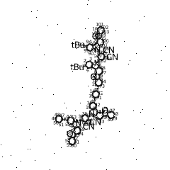 CC(C)(C)c1ccc2c(c1)c1c3oc4cc(-c5ccc(-c6ccc7c(c6)c6c8oc9ccccc9c8ccc6n7-c6ccc(-n7c8ccc(-c9ccccc9)cc8c8c9oc%10ccccc%10c9ccc87)c(C#N)c6C#N)cc5)ccc4c3ccc1n2-c1cc(C#N)c(C#N)c(-n2c3ccc(C(C)(C)C)cc3c3c4oc5ccccc5c4ccc32)c1